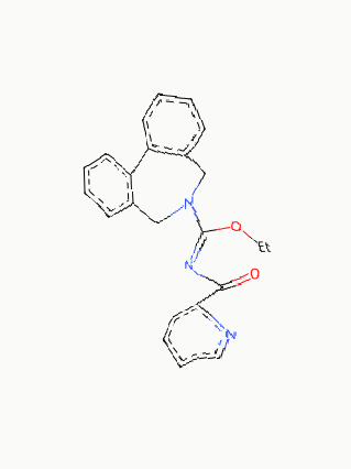 CCOC(=NC(=O)c1ccccn1)N1Cc2ccccc2-c2ccccc2C1